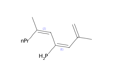 C=C(C)/C=C(P)\C=C(\C)CCC